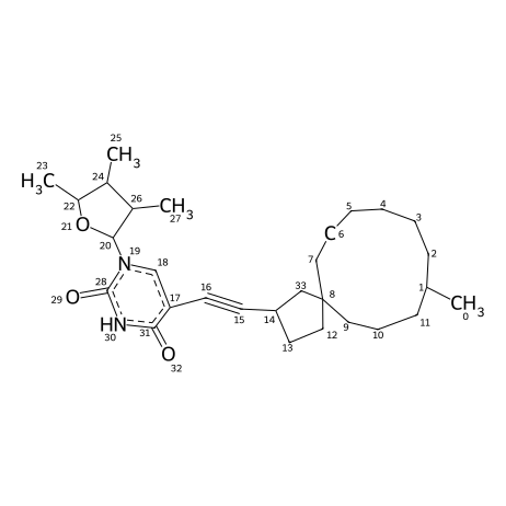 CC1CCCCCCC2(CCC1)CCC(C#Cc1cn(C3OC(C)C(C)C3C)c(=O)[nH]c1=O)C2